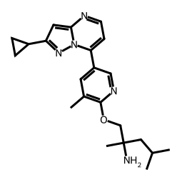 Cc1cc(-c2ccnc3cc(C4CC4)nn23)cnc1OCC(C)(N)CC(C)C